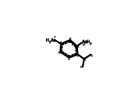 CC(C)c1ccc([AsH2])cc1[AsH2]